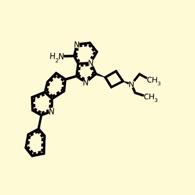 CCN(CC)[C@H]1C[C@@H](c2nc(-c3ccc4ccc(-c5ccccc5)nc4c3)c3c(N)nccn32)C1